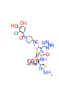 CC(C)(O/N=C(\C(=O)N[C@@H]1C(=O)N2C(c3nn[nH]n3)=C(C[N+](C)(C)C3CCN(C(=O)c4ccc(O)c(O)c4Cl)CC3)CS[C@H]12)c1csc(N)n1)C(=O)O